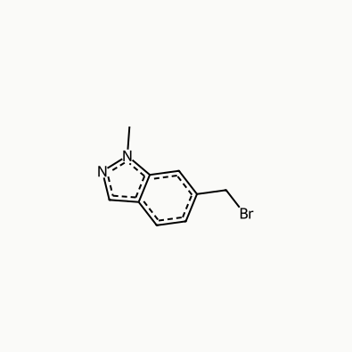 Cn1ncc2ccc(CBr)cc21